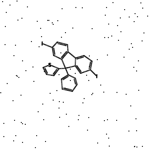 Ic1ccc2c(c1)C(c1ccccc1)(c1cccs1)c1cc(I)ccc1-2